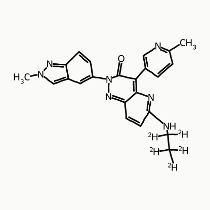 [2H]C([2H])([2H])C([2H])([2H])Nc1ccc2nn(-c3ccc4nn(C)cc4c3)c(=O)c(-c3ccc(C)nc3)c2n1